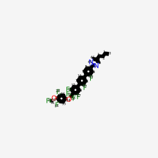 C=CCCc1cnc(-c2ccc(-c3ccc(-c4cc(F)c(C(F)(F)Oc5cc(F)c(OCF)c(F)c5)c(F)c4)c(F)c3)c(F)c2)nc1